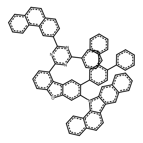 c1ccc(-c2nc(-c3ccc4ccc5ccccc5c4c3)nc(-c3cccc4oc5cc(-n6c7cc8ccccc8cc7c7ccc8ccccc8c76)c(-c6ccc(-c7ccccc7)c(-c7ccccc7)c6)cc5c34)n2)cc1